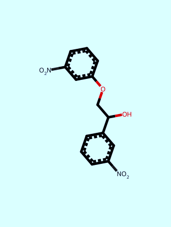 O=[N+]([O-])c1cccc(OCC(O)c2cccc([N+](=O)[O-])c2)c1